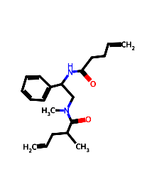 C=CCCC(=O)NC(CN(C)C(=O)C(C)CC=C)c1ccccc1